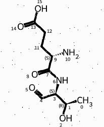 C[C@@H](O)[C@@H]([C]=O)NC(=O)[C@@H](N)CCC(=O)O